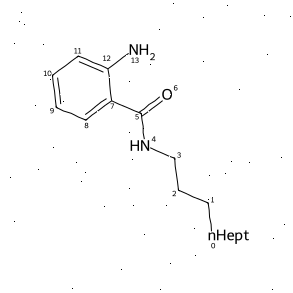 CCCCCCCCCCNC(=O)c1ccccc1N